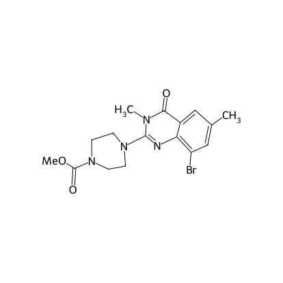 COC(=O)N1CCN(c2nc3c(Br)cc(C)cc3c(=O)n2C)CC1